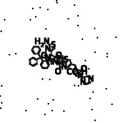 Nc1nc(C(=NOC(c2ccccc2)(c2ccccc2)c2ccccc2)C(=O)N[C@@H]2C(=O)N3C(C(=O)O)=C(C=C4CCN(c5cnccn5)C4=O)CS[C@H]23)cs1